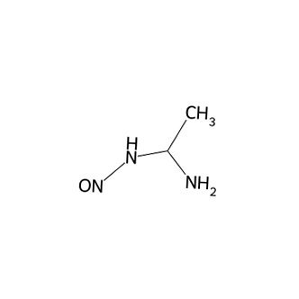 CC(N)NN=O